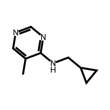 Cc1cncnc1NCC1CC1